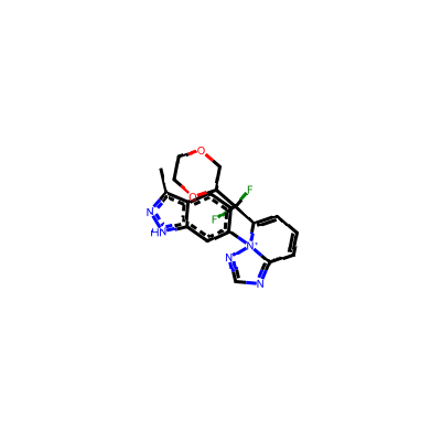 Cc1n[nH]c2cc([N+]34N=CN=C3C=CC=C4C(F)(F)C3COCCO3)ccc12